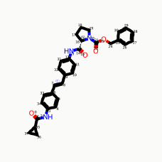 O=C(Nc1ccc(/C=C/c2ccc(NC(=O)[C@@H]3CCCN3C(=O)OCc3ccccc3)cc2)cc1)C1CC1